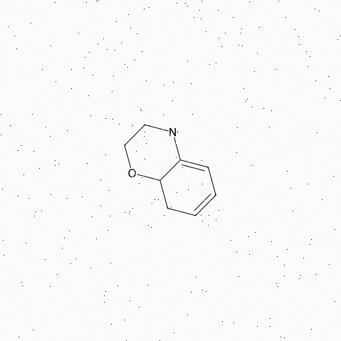 C1=CCC2OCC[N]C2=C1